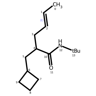 C/C=C/CC(CC1CCC1)C(=O)NC(C)(C)C